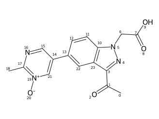 CC(=O)c1nn(CC(=O)O)c2ccc(-c3cnc(C)[n+]([O-])c3)cc12